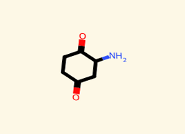 N[C]1CC(=O)CCC1=O